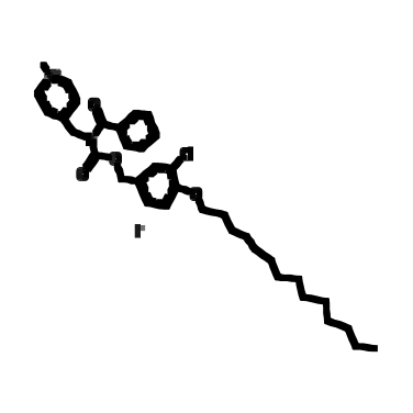 CCCCCCCCCCCCCCOc1ccc(COC(=O)N(Cc2cc[n+](C)cc2)C(=O)c2ccccc2)cc1Cl.[I-]